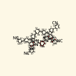 [C-]#[N+]c1cccc(-c2ccc3c(c2)c2cc(-c4cccc([N+]#[C-])c4)ccc2n3-c2ccc(-c3cccc(-c4ccc(-n5c6ccc(-c7cccc(C#N)c7)cc6c6cc(-c7cccc(C#N)c7)ccc65)c(-c5nc(-c6ccccc6)nc(-c6ccccc6)n5)c4)c3)cc2-c2nc(-c3ccccc3)nc(-c3ccccc3)n2)c1